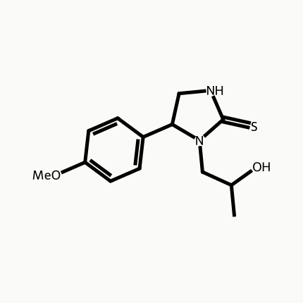 COc1ccc(C2CNC(=S)N2CC(C)O)cc1